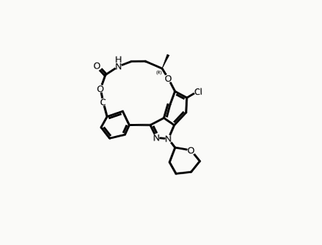 C[C@@H]1CCNC(=O)OCc2cccc(c2)-c2nn(C3CCCCO3)c3cc(Cl)c(cc23)O1